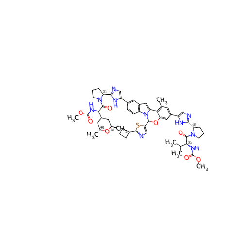 COC(=O)NC(C(=O)N1CCC[C@H]1c1ncc(-c2ccc3c(c2)cc2n3C(c3cnc(C4CCC4)s3)Oc3cc(-c4cnc([C@@H]5CCCN5C(=O)[C@@H](NC(=O)OC)C(C)C)[nH]4)cc(C)c3-2)[nH]1)C1C[C@@H](C)O[C@H](C)C1